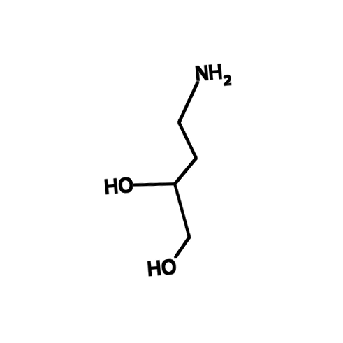 NCCC(O)CO